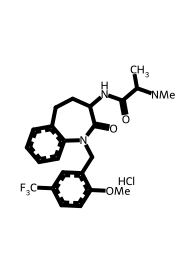 CNC(C)C(=O)NC1CCc2ccccc2N(Cc2cc(C(F)(F)F)ccc2OC)C1=O.Cl